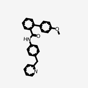 COc1ccc(-c2ccccc2C(=O)Nc2ccc(Cc3ccccn3)cc2)cc1